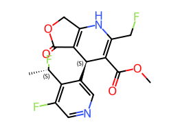 COC(=O)C1=C(CF)NC2=C(C(=O)OC2)[C@@H]1c1cncc(F)c1[C@H](C)F